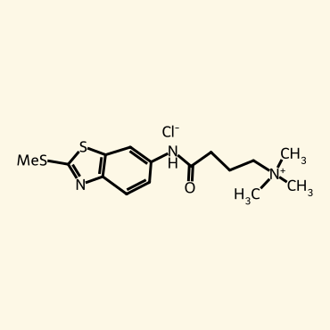 CSc1nc2ccc(NC(=O)CCC[N+](C)(C)C)cc2s1.[Cl-]